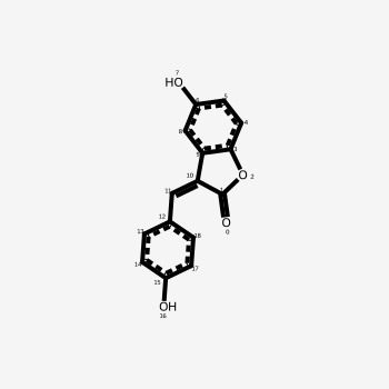 O=C1Oc2ccc(O)cc2/C1=C/c1ccc(O)cc1